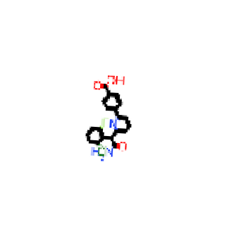 NC(=O)C(c1cccc(-c2ccc(C(=O)O)cc2)n1)c1c(F)cccc1Cl